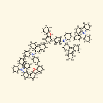 c1cc(-c2ccc(-c3ccccc3-n3c4ccccc4c4ccccc43)cc2)cc(N(c2ccc(-c3cc(-c4ccc5cc(N(c6ccc(-c7cccc8c7oc7ccccc78)cc6)c6cccc(-c7ccc(-c8ccccc8-n8c9ccccc9c9ccccc98)cc7)c6)c6ccccc6c5c4)cc4c3oc3ccccc34)cc2)c2ccc3c4ccccc4c4ccccc4c3c2)c1